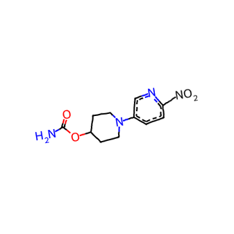 NC(=O)OC1CCN(c2ccc([N+](=O)[O-])nc2)CC1